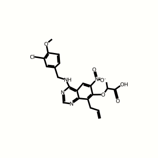 C=CCc1c(OC(C)C(=O)O)c([N+](=O)[O-])cc2c(NCc3ccc(OC)c(Cl)c3)ncnc12